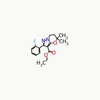 CCOC(=O)c1c(-c2ccccc2F)nn2c1OC(C)(C)CC2